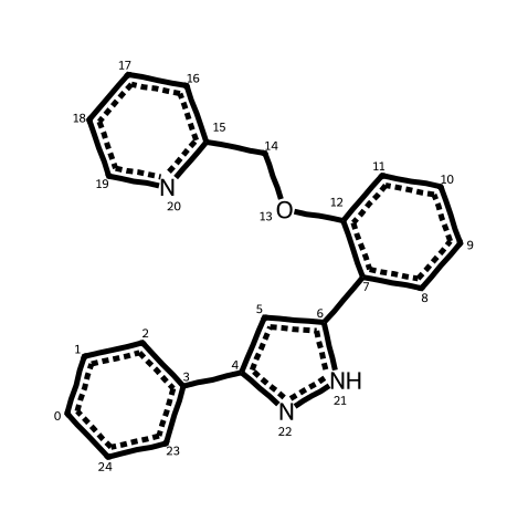 c1ccc(-c2cc(-c3ccccc3OCc3ccccn3)[nH]n2)cc1